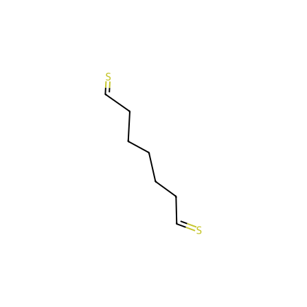 S=CCCCCCC=S